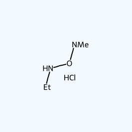 CCNONC.Cl